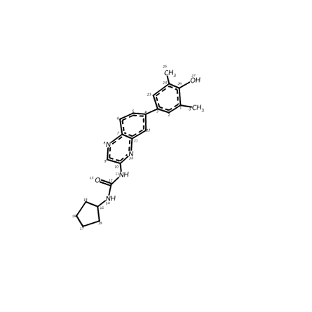 Cc1cc(-c2ccc3ncc(NC(=O)NC4CCCC4)nc3c2)cc(C)c1O